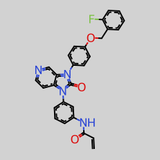 C=CC(=O)Nc1cccc(-n2c(=O)n(-c3ccc(OCc4ccccc4F)cc3)c3cnccc32)c1